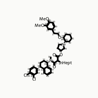 CCCCCCCC(C(=O)O[C@@H]1CCN([C@@H]2CCCC[C@H]2OCCc2ccc(OC)c(OC)c2)C1)C(=O)N(C)[C@H]1CC[C@@H](c2ccc(Cl)c(Cl)c2)c2ccccc21